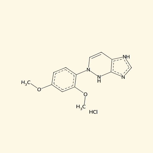 COc1ccc(N2C=Cc3[nH]cnc3N2)c(OC)c1.Cl